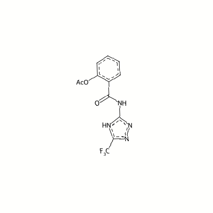 CC(=O)Oc1ccccc1C(=O)Nc1nnc(C(F)(F)F)[nH]1